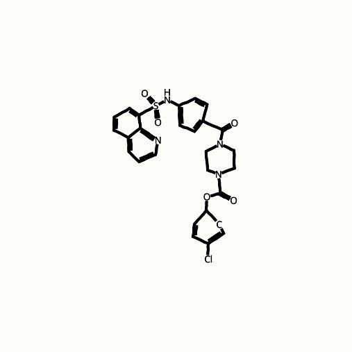 O=C(OC1C=CC(Cl)=CC1)N1CCN(C(=O)c2ccc(NS(=O)(=O)c3cccc4cccnc34)cc2)CC1